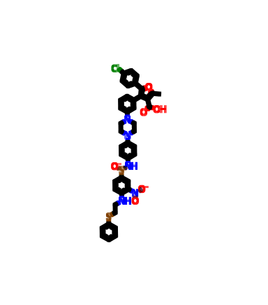 Cc1oc(-c2ccc(Cl)cc2)c(-c2cccc(N3CCN(c4ccc(N[S+]([O-])c5ccc(NCCSc6ccccc6)c([N+](=O)[O-])c5)cc4)CC3)c2)c1C(=O)O